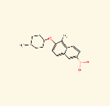 C[C@H]1CC[C@@H](Oc2ccc3cc(B(O)O)ccc3c2C(F)(F)F)CC1